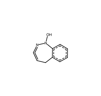 ON1N=C=CCc2ccccc21